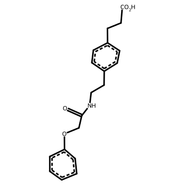 O=C(O)CCc1ccc(CCNC(=O)COc2ccccc2)cc1